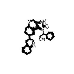 N#CCC(c1ccccc1)n1c(=O)[nH]c2cnc3ccc(-c4cnc5ccccc5c4)cc3c21